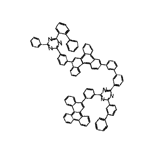 c1ccc(-c2cccc(-c3nc(-c4cccc(-c5cccc(-c6ccc7c(c6)c6ccccc6c6cc(-c8cccc(-c9nc(-c%10ccccc%10)nc(-c%10ccccc%10-c%10ccccc%10)n9)c8)c8ccccc8c76)c5)c4)nc(-c4cccc(-c5cc6c7ccccc7c7ccccc7c6c6ccccc56)c4)n3)c2)cc1